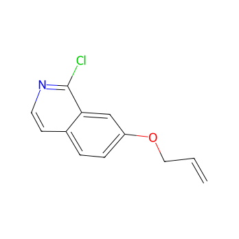 C=CCOc1ccc2ccnc(Cl)c2c1